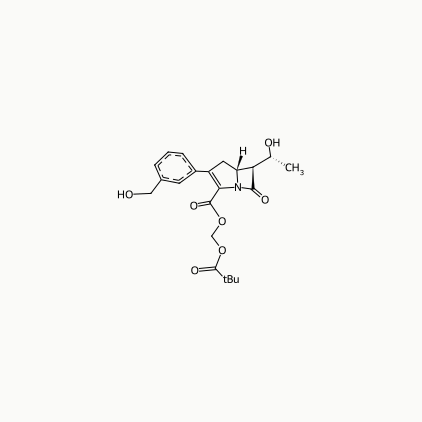 C[C@@H](O)[C@H]1C(=O)N2C(C(=O)OCOC(=O)C(C)(C)C)=C(c3cccc(CO)c3)C[C@H]12